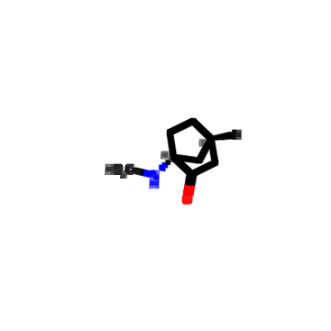 O=C(O)N[C@@]12CC[C@H](CC1=O)C2